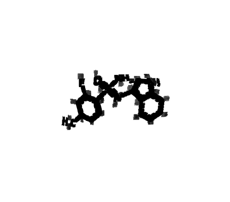 Cc1ccc(S(N)(=O)=Nc2c[nH]c3ccccc23)c(F)c1